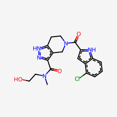 CN(CCO)C(=O)c1n[nH]c2c1CN(C(=O)c1cc3c(Cl)cccc3[nH]1)CC2